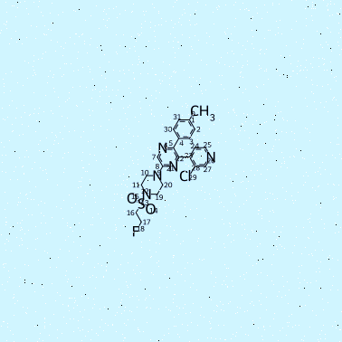 Cc1ccc(-c2ncc(N3CCN(S(=O)(=O)CCF)CC3)nc2-c2ccncc2Cl)cc1